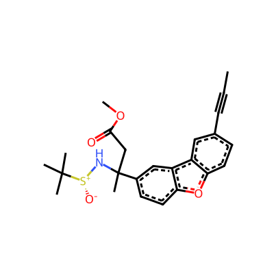 CC#Cc1ccc2oc3ccc(C(C)(CC(=O)OC)N[S@+]([O-])C(C)(C)C)cc3c2c1